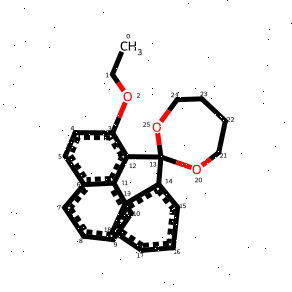 CCOc1ccc2ccccc2c1C1(c2ccccc2)OCCCCO1